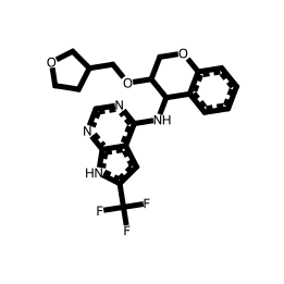 FC(F)(F)c1cc2c(NC3c4ccccc4OCC3OCC3CCOC3)ncnc2[nH]1